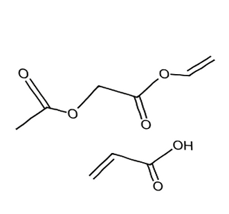 C=CC(=O)O.C=COC(=O)COC(C)=O